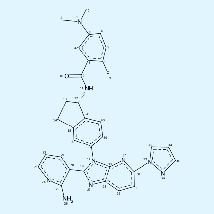 CN(C)c1ccc(F)c(C(=O)N[C@H]2CCc3cc(-n4c(-c5cccnc5N)nc5ccc(-n6cccn6)nc54)ccc32)c1